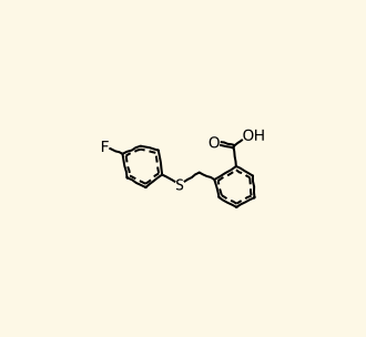 O=C(O)c1ccccc1CSc1ccc(F)cc1